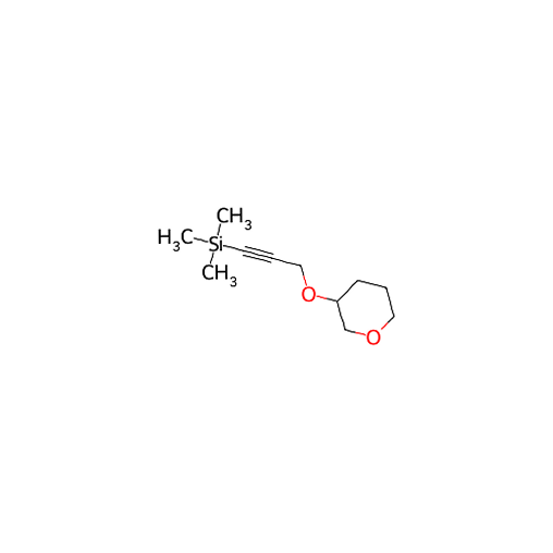 C[Si](C)(C)C#CCOC1CCCOC1